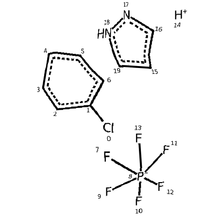 Clc1ccccc1.F[P-](F)(F)(F)(F)F.[H+].c1cn[nH]c1